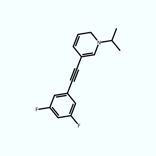 CC(C)N1C=C(C#Cc2cc(F)cc(F)c2)C=CC1